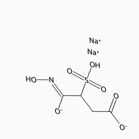 O=C([O-])CC(C([O-])=NO)S(=O)(=O)O.[Na+].[Na+]